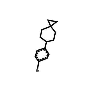 Brc1ccc(C2CCC3(CC2)CC3)cc1